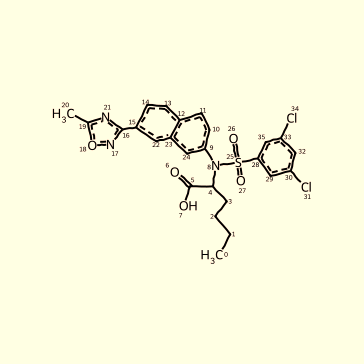 CCCCC(C(=O)O)N(c1ccc2ccc(-c3noc(C)n3)cc2c1)S(=O)(=O)c1cc(Cl)cc(Cl)c1